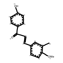 COc1ccc(C=CC(=O)c2ccc(O)cc2)cc1C